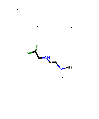 CC(C)NCCNCC(F)F